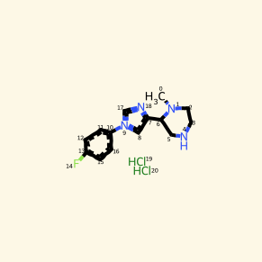 CN1CCNCC1c1cn(-c2ccc(F)cc2)cn1.Cl.Cl